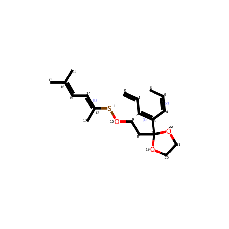 C=C/C=C(\C=C/C)C1(CCOS/C(C)=C/C=C(C)C)OCCO1